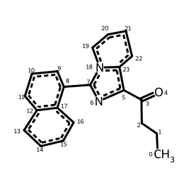 CCCC(=O)c1nc(-c2cccc3ccccc23)n2ccccc12